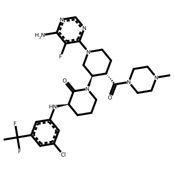 CN1CCN(C(=O)[C@H]2CCN(c3ncnc(N)c3F)C[C@@H]2N2CCC[C@@H](Nc3cc(Cl)cc(C(C)(F)F)c3)C2=O)CC1